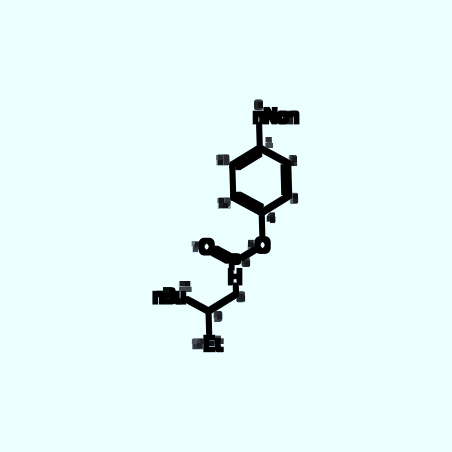 CCCCCCCCCc1ccc(O[PH](=O)CC(CC)CCCC)cc1